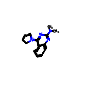 CN(C)c1nc(N2CCCC2)c2ccccc2n1